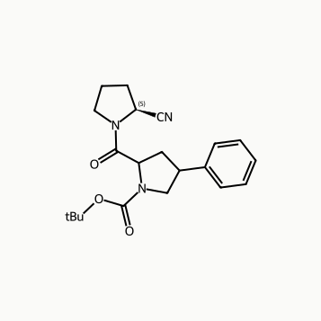 CC(C)(C)OC(=O)N1CC(c2ccccc2)CC1C(=O)N1CCC[C@H]1C#N